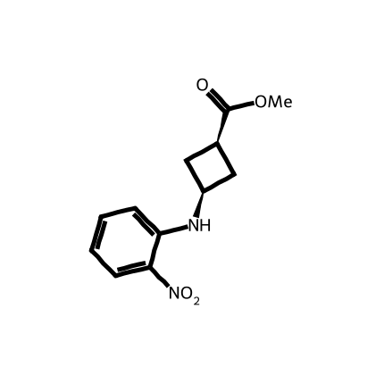 COC(=O)[C@H]1C[C@@H](Nc2ccccc2[N+](=O)[O-])C1